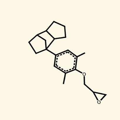 Cc1cc(C23CCC(C2)C2CCCC23)cc(C)c1OCC1CO1